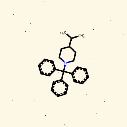 CC(C)C1CCN(C(c2ccccc2)(c2ccccc2)c2ccccc2)CC1